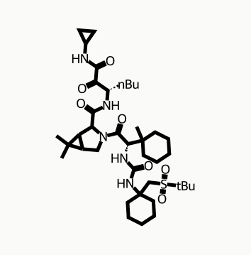 CCCC[C@H](NC(=O)C1C2C(CN1C(=O)[C@@H](NC(=O)NC1(CS(=O)(=O)C(C)(C)C)CCCCC1)C1(C)CCCCC1)C2(C)C)C(=O)C(=O)NC1CC1